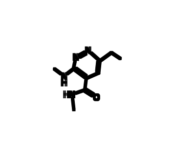 CCc1cc(C(=O)NC)c(NC)nn1